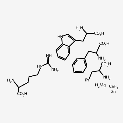 CC(C)CC(N)C(=O)O.N=C(N)NCCCC(N)C(=O)O.NC(Cc1c[nH]c2ccccc12)C(=O)O.NC(Cc1ccccc1)C(=O)O.[CaH2].[MgH2].[Zn]